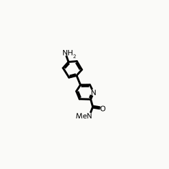 CNC(=O)c1ccc(-c2ccc(N)cc2)cn1